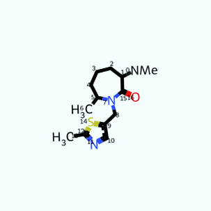 CNC1CCCC(C)N(Cc2cnc(C)s2)C1=O